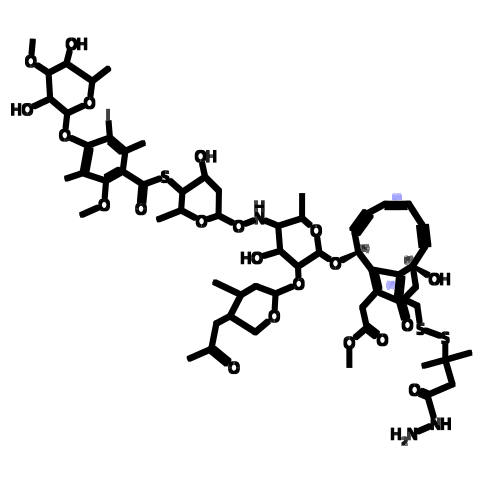 COC(=O)CC1=C2/C(=C/CSSC(C)(C)CC(=O)NN)[C@](O)(C#C/C=C\C#C[C@@H]2OC2OC(C)C(NOC3CC(O)C(SC(=O)c4c(C)c(I)c(OC5OC(C)C(O)C(OC)C5O)c(C)c4OC)C(C)O3)C(O)C2OC2CC(C)C(CC(C)=O)CO2)CC1=O